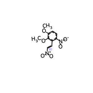 COc1ccc([N+](=O)[O-])c(/C=C/[N+](=O)[O-])c1OC